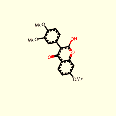 COc1ccc2c(=O)c(-c3ccc(OC)c(OC)c3)c(O)oc2c1